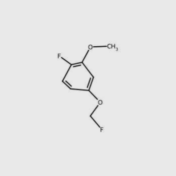 COc1cc(OCF)ccc1F